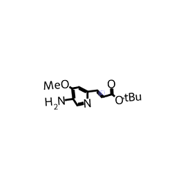 COc1cc(/C=C/C(=O)OC(C)(C)C)ncc1N